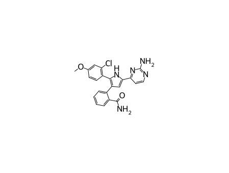 COc1ccc(-c2[nH]c(-c3ccnc(N)n3)cc2-c2ccccc2C(N)=O)c(Cl)c1